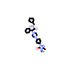 Cc1nn(-c2ccc(N3CCN(C(C(=O)NCc4ccccc4)c4ccccc4)CC3)cc2)c(=O)n1C(C)C